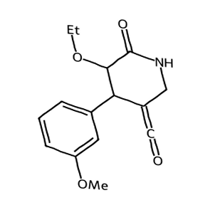 CCOC1C(=O)NCC(=C=O)C1c1cccc(OC)c1